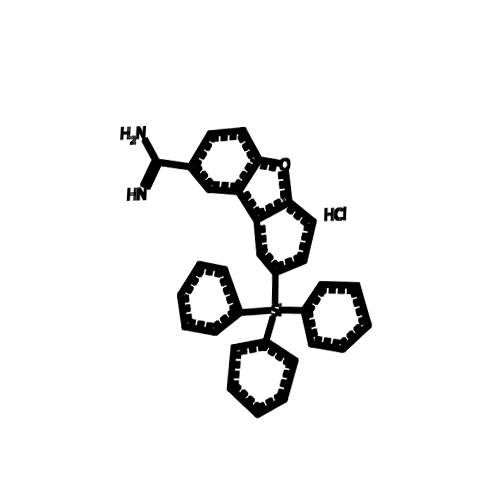 Cl.N=C(N)c1ccc2oc3ccc([Si](c4ccccc4)(c4ccccc4)c4ccccc4)cc3c2c1